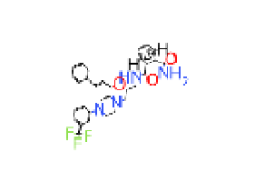 NC(=O)C1C(C(=O)NCC(CN2CCN(c3cccc(C(F)(F)F)c3)CC2)OCC=Cc2ccccc2)[C@H]2C=C[C@@H]1C2